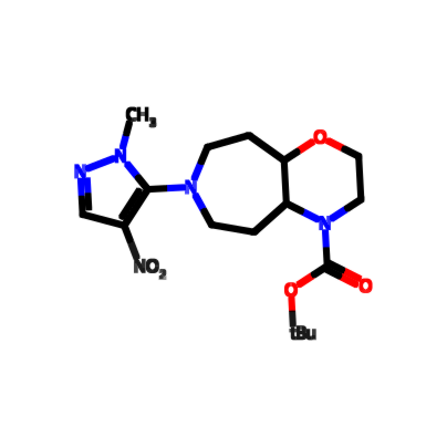 Cn1ncc([N+](=O)[O-])c1N1CCC2OCCN(C(=O)OC(C)(C)C)C2CC1